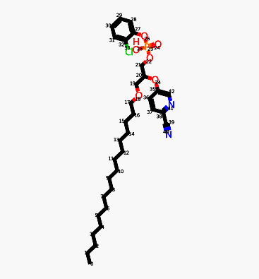 CCCCCCCCCCCCCCCCCCOCC(COP(=O)(O)Oc1ccccc1Cl)Oc1ccc(C#N)nc1